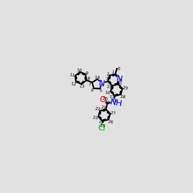 Cc1cc(N2CCC(c3ccccc3)C2)c2cc(NC(=O)c3ccc(Cl)cc3)ccc2n1